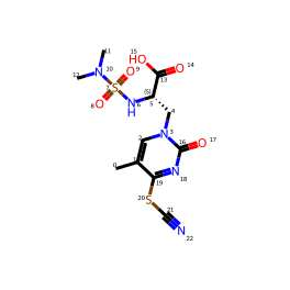 Cc1cn(C[C@H](NS(=O)(=O)N(C)C)C(=O)O)c(=O)nc1SC#N